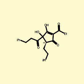 CCC(=O)C1=C(O)C(O)(C(=O)CCC(C)C)[C@H](CCC(C)C)C1=O